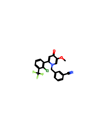 COc1cn(Cc2cccc(C#N)c2)c(-c2cccc(C(F)(F)F)c2Cl)cc1=O